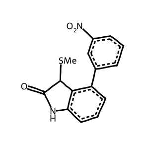 CSC1C(=O)Nc2cccc(-c3cccc([N+](=O)[O-])c3)c21